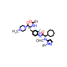 CCC(=O)N[C@H](Cc1ccc(NC(=O)[C@H](C2CCCCCC2)N(C=O)c2ccnn2C(C)C)c(F)c1)C(=O)N1CCN(C)CC1